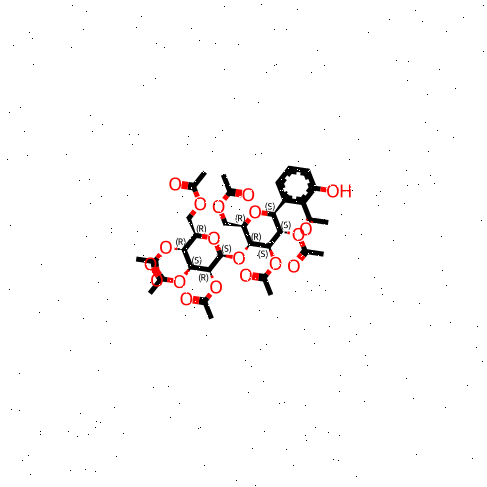 CC(=O)OC[C@H]1O[C@@H](c2cccc(O)c2C(C)=O)[C@H](OC(C)=O)[C@@H](OC(C)=O)[C@@H]1O[C@@H]1O[C@H](COC(C)=O)[C@@H](OC(C)=O)[C@H](OC(C)=O)[C@H]1OC(C)=O